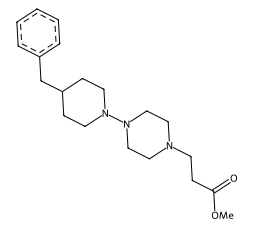 COC(=O)CCN1CCN(N2CCC(Cc3ccccc3)CC2)CC1